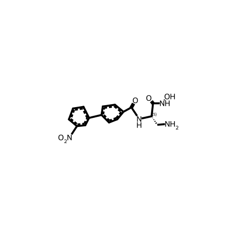 NC[C@H](NC(=O)c1ccc(-c2cccc([N+](=O)[O-])c2)cc1)C(=O)NO